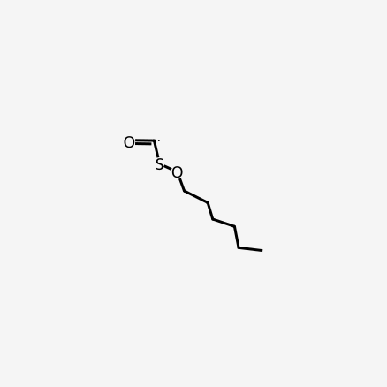 CCCCCCOS[C]=O